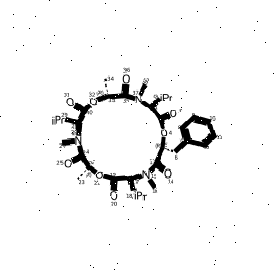 CC(C)C1C(=O)O[C@H](Cc2ccccc2)C(=O)N(C)C(C(C)C)C(=O)O[C@H](C)C(=O)N(C)C(C(C)C)C(=O)O[C@H](C)C(=O)N1C